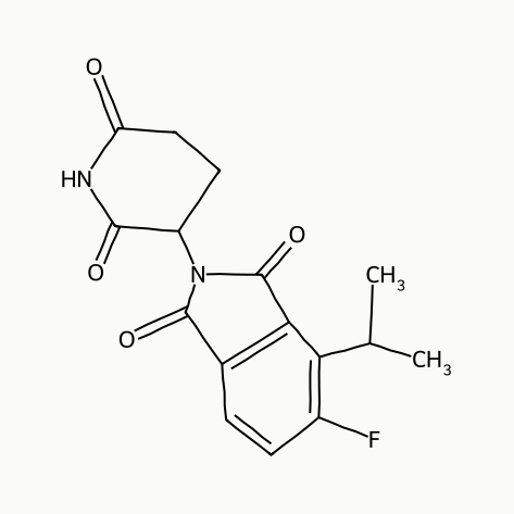 CC(C)c1c(F)ccc2c1C(=O)N(C1CCC(=O)NC1=O)C2=O